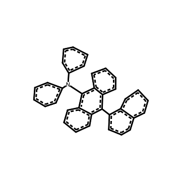 c1ccc(N(c2ccccc2)c2c3ccccc3c(-c3cccc4ccccc34)c3ccccc23)cc1